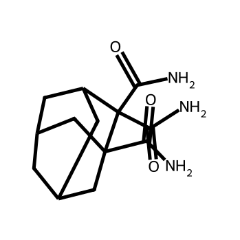 NC(=O)C12CC3CC(CC(C3)C1(C(N)=O)C(N)=O)C2